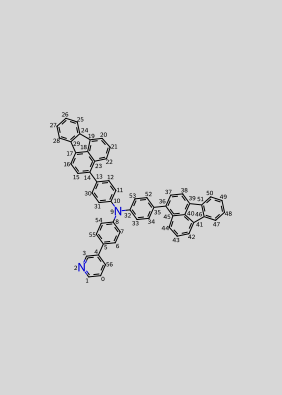 c1cncc(-c2ccc(N(c3ccc(-c4ccc5c6c(cccc46)-c4ccccc4-5)cc3)c3ccc(-c4ccc5c6c(cccc46)-c4ccccc4-5)cc3)cc2)c1